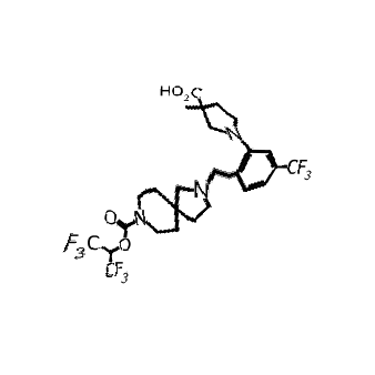 CC1(C(=O)O)CCN(c2cc(C(F)(F)F)ccc2CN2CCC3(CCN(C(=O)OC(C(F)(F)F)C(F)(F)F)CC3)C2)C1